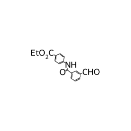 CCOC(=O)c1ccc(NC(=O)c2cccc(C=O)c2)cc1